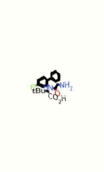 CC(C)(C)C(NC(=O)CN)C(=O)O.Fc1ccc(-c2ccccc2)cc1